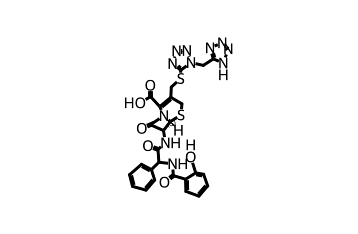 O=C(O)C1=C(CSc2nnnn2Cc2nnn[nH]2)CS[C@H]2C(NC(=O)C(NC(=O)c3ccccc3O)c3ccccc3)C(=O)N12